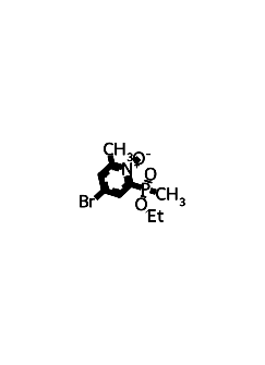 CCOP(C)(=O)c1cc(Br)cc(C)[n+]1[O-]